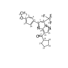 COc1ccc(-c2cc(C(F)(F)F)n3ncc(C(=O)C4CCCC4)c3n2)cc1